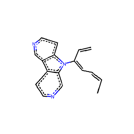 C=C/C(=C\C=C/C)n1c2ccncc2c2ccncc21